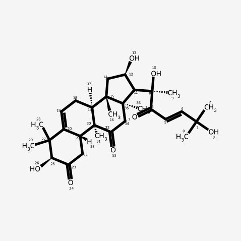 CC(C)(O)/C=C/C(=O)[C@](C)(O)C1[C@H](O)C[C@@]2(C)[C@@H]3CC=C4[C@@H](CC(=O)[C@@H](O)C4(C)C)[C@]3(C)C(=O)C[C@]12C